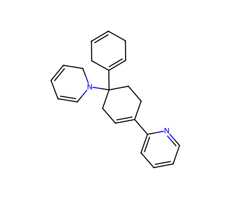 C1=CCN(C2(C3=CCC=CC3)CC=C(c3ccccn3)CC2)C=C1